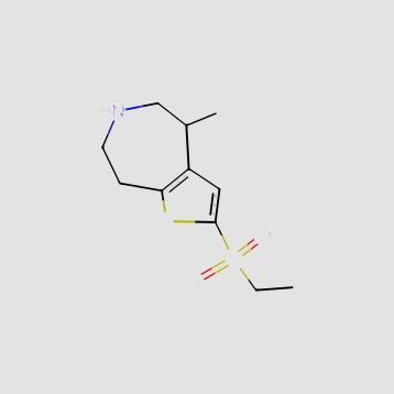 CCS(=O)(=O)c1cc2c(s1)CCNCC2C